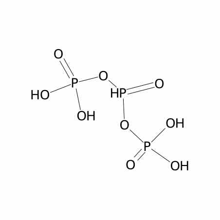 O=[PH](OP(=O)(O)O)OP(=O)(O)O